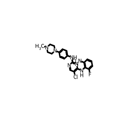 CN1CCN(c2ccc(Nc3ncc(Cl)c(Nc4c(F)cccc4[N+](=O)[O-])n3)cc2)CC1